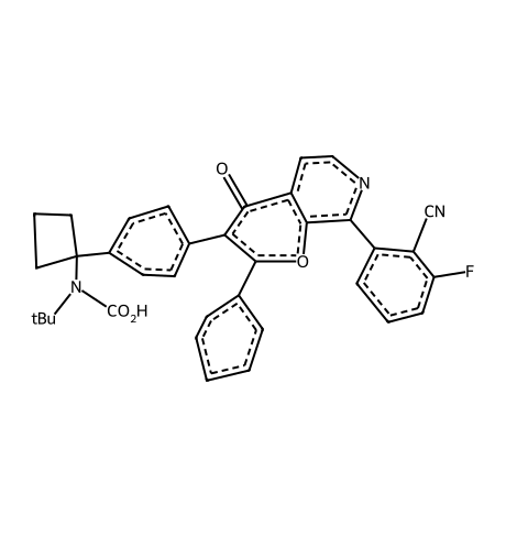 CC(C)(C)N(C(=O)O)C1(c2ccc(-c3c(-c4ccccc4)oc4c(-c5cccc(F)c5C#N)nccc4c3=O)cc2)CCC1